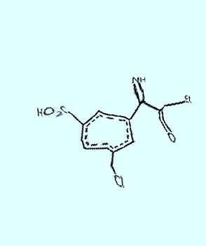 CCC(=O)C(=N)c1cc(Cl)cc(C(=O)O)c1